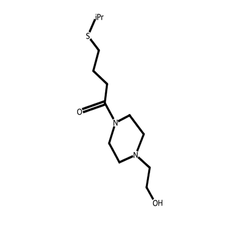 CC(C)SCCCC(=O)N1CCN(CCO)CC1